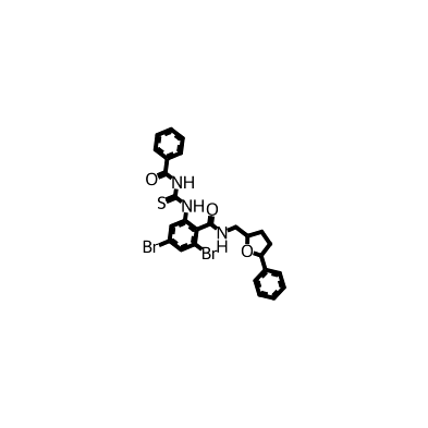 O=C(NC(=S)Nc1cc(Br)cc(Br)c1C(=O)NCC1CCC(c2ccccc2)O1)c1ccccc1